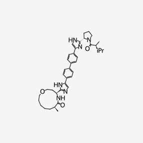 CC(C)[C@H](C)C(=O)N1CCC[C@H]1c1nc(-c2ccc(-c3ccc(-c4cnc([C@@H]5CCOCCCCC[C@H](C)C(=O)N5)[nH]4)cc3)cc2)c[nH]1